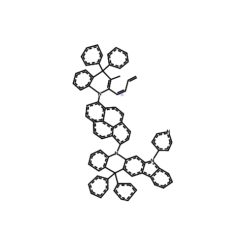 C=C/C=C\C1=C(C)C(c2ccccc2)(c2ccccc2)c2ccccc2N1c1ccc2ccc3c(N4c5ccccc5C(c5ccccc5)(c5ccccc5)c5cc6c7ccccc7n(-c7ccncc7)c6cc54)ccc4ccc1c2c43